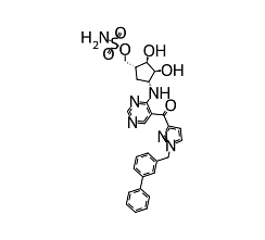 NS(=O)(=O)OC[C@H]1C[C@@H](Nc2ncncc2C(=O)c2ccn(Cc3cccc(-c4ccccc4)c3)n2)[C@H](O)[C@@H]1O